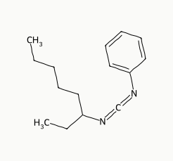 CCCCCC(CC)N=C=Nc1ccccc1